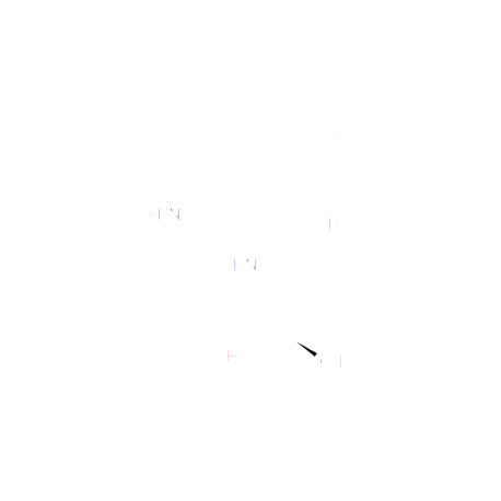 C[C@@H](O)CNc1c(N)ccc(F)c1Br